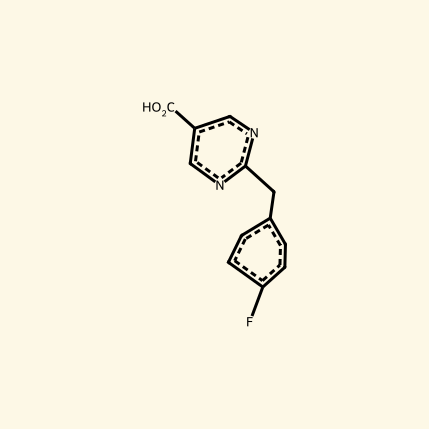 O=C(O)c1cnc(Cc2ccc(F)cc2)nc1